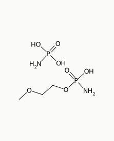 COCCOP(N)(=O)O.NP(=O)(O)O